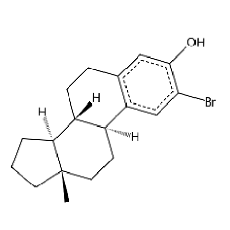 C[C@@]12CCC[C@H]1[C@@H]1CCc3cc(O)c(Br)cc3[C@H]1CC2